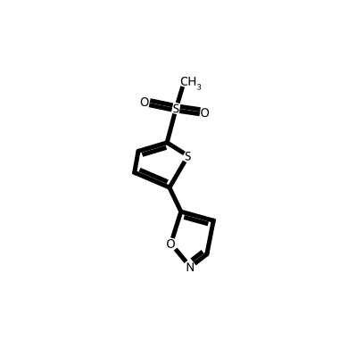 CS(=O)(=O)c1ccc(-c2ccno2)s1